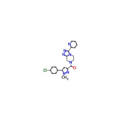 Cn1nc(C(=O)N2CCn3c(nnc3-c3ccccn3)C2)cc1-c1ccc(Cl)cc1